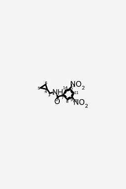 O=C(NCC1CC1)c1cc([N+](=O)[O-])cc([N+](=O)[O-])c1